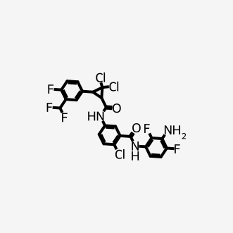 Nc1c(F)ccc(NC(=O)c2cc(NC(=O)C3C(c4ccc(F)c(C(F)F)c4)C3(Cl)Cl)ccc2Cl)c1F